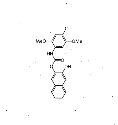 COc1cc(NC(=O)Oc2cc3ccccc3cc2O)c(OC)cc1Cl